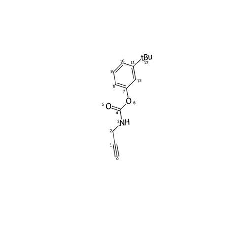 C#CCNC(=O)Oc1cccc(C(C)(C)C)c1